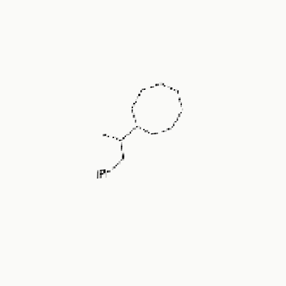 CC(C)CC(C)C1CCCCCCC1